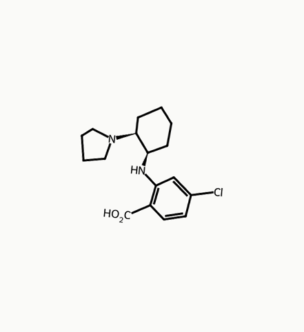 O=C(O)c1ccc(Cl)cc1N[C@@H]1CCCC[C@@H]1N1CCCC1